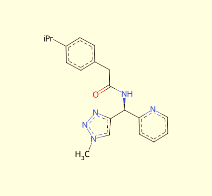 CC(C)c1ccc(CC(=O)N[C@@H](c2ccccn2)c2cn(C)nn2)cc1